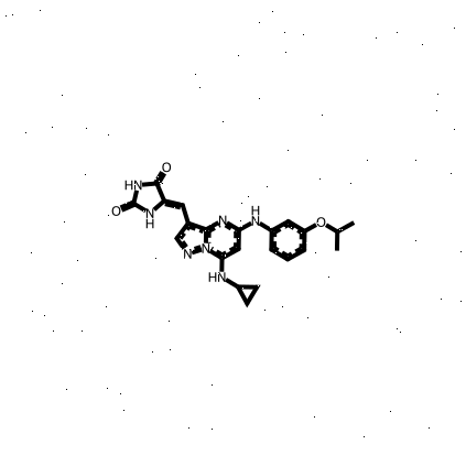 CC(C)Oc1cccc(Nc2cc(NC3CC3)n3ncc(/C=C4\NC(=O)NC4=O)c3n2)c1